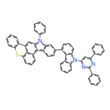 c1ccc(-c2cc(-n3c4ccccc4c4c(-c5ccc6c7c8cccc9c8c(cc7n(-c7ccccc7)c6c5)-c5ccccc5S9)cccc43)nc(-c3ccccc3)n2)cc1